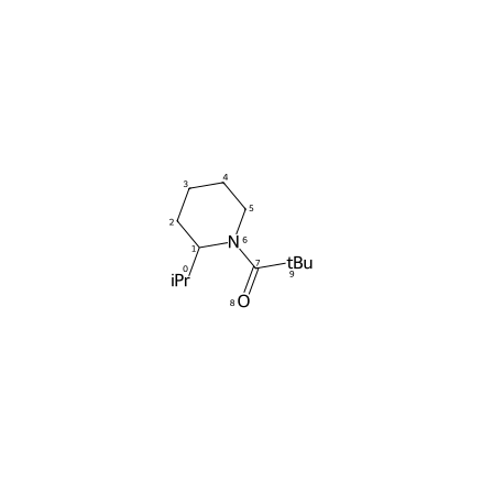 CC(C)C1CCCCN1C(=O)C(C)(C)C